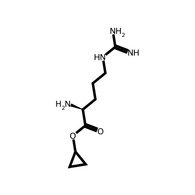 N=C(N)NCCC[C@H](N)C(=O)OC1CC1